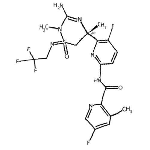 Cc1cc(F)cnc1C(=O)Nc1ccc(F)c([C@]2(C)CS(=O)(=NCC(F)(F)F)N(C)C(N)=N2)n1